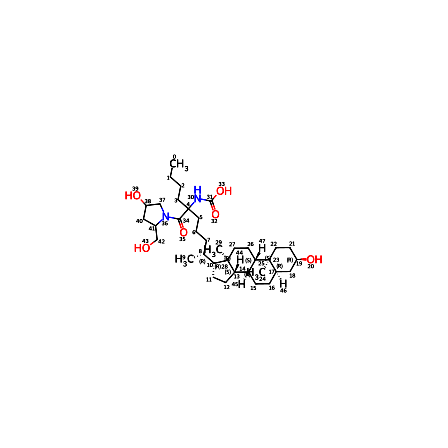 CCCCC(CCC[C@@H](C)[C@H]1CC[C@H]2[C@@H]3CC[C@@H]4C[C@H](O)CC[C@]4(C)[C@H]3CC[C@]12C)(NC(=O)O)C(=O)N1CC(O)CC1CO